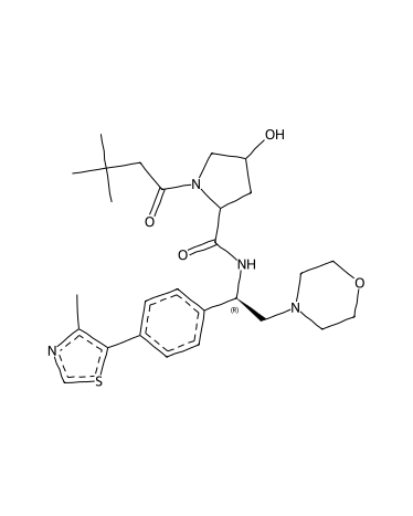 Cc1ncsc1-c1ccc([C@H](CN2CCOCC2)NC(=O)C2CC(O)CN2C(=O)CC(C)(C)C)cc1